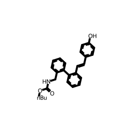 CCCCOC(=O)NCc1ccccc1-c1ccccc1/C=C/c1ccc(O)cc1